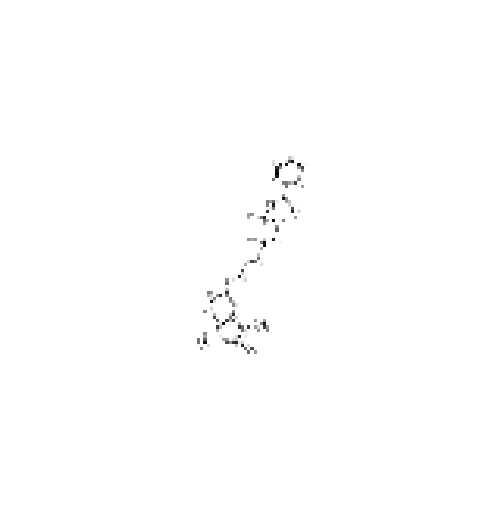 Cc1cc(=O)n(C)c2cc(OCCCN3CCC(NC(=O)c4ccccc4)CC3)ccc12